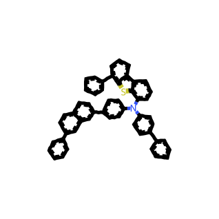 c1ccc(-c2ccc(N(c3ccc(-c4ccc5ccc(-c6ccccc6)cc5c4)cc3)c3cccc4c3sc3c(-c5ccccc5)cccc34)cc2)cc1